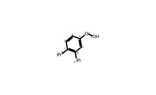 CC(C)c1ccc(OO)cc1C(C)C